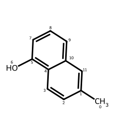 Cc1ccc2c(O)cccc2c1